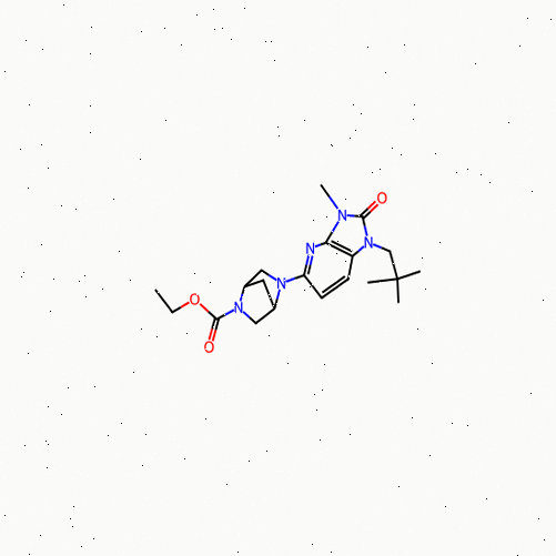 CCOC(=O)N1CC2CC1CN2c1ccc2c(n1)n(C)c(=O)n2CC(C)(C)C